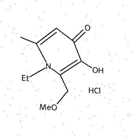 CCn1c(C)cc(=O)c(O)c1COC.Cl